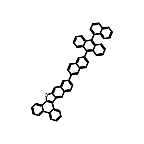 c1ccc2c(-c3c4ccccc4c(-c4ccc5cc(-c6ccc7cc8c(cc7c6)oc6c7ccccc7c7ccccc7c86)ccc5c4)c4ccccc34)cccc2c1